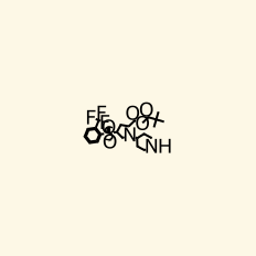 CC(C)(C)C(=O)OC(=O)C1CC(S(=O)(=O)c2ccccc2C(F)(F)F)CN1C1CCNCC1